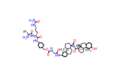 CC(C)[C@H](N)C(=O)N[C@@H](CCCNC(N)=O)C(=O)Nc1ccc(COC(=O)NCC(=O)Nc2ccc3c(c2)[C@@]2(C)CCC[C@]4(C(=O)N4C(=O)[C@@]4(C)CCC[C@]5(C)c6cc(O)ccc6CC[C@@H]45)C2CC3)cc1